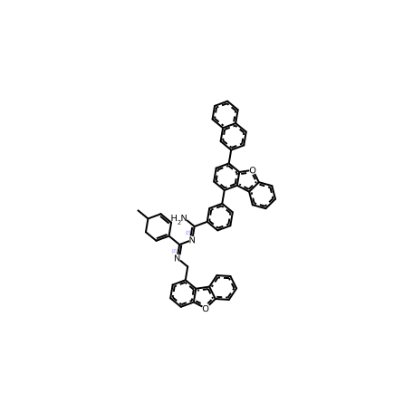 CC1C=CC(C(=N/Cc2cccc3oc4ccccc4c23)/N=C(\N)c2cccc(-c3ccc(-c4ccc5ccccc5c4)c4oc5ccccc5c34)c2)=CC1